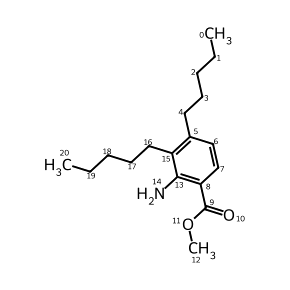 CCCCCc1ccc(C(=O)OC)c(N)c1CCCCC